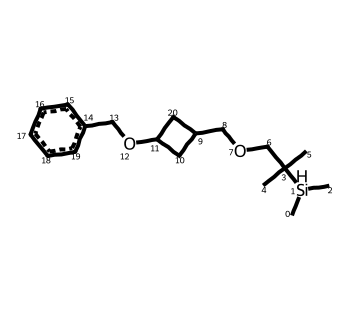 C[SiH](C)C(C)(C)COCC1CC(OCc2ccccc2)C1